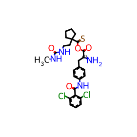 CNC(=O)NCCC1(C(=S)OC(=O)[C@@H](N)Cc2ccc(NC(=O)c3c(Cl)cccc3Cl)cc2)CCCC1